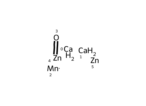 [CaH2].[CaH2].[Mn].[O]=[Zn].[Zn]